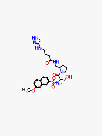 COc1ccc2ccc(S(=O)(=O)NC(CO)C(=O)N3CCCC3CNC(=O)CCCNC=NN)cc2c1